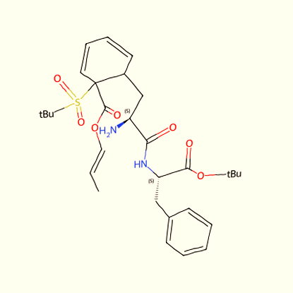 CC=COC(=O)C1(S(=O)(=O)C(C)(C)C)C=CC=CC1C[C@H](N)C(=O)N[C@@H](Cc1ccccc1)C(=O)OC(C)(C)C